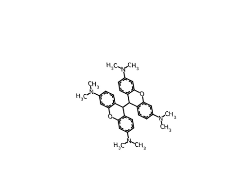 CN(C)c1ccc2c(c1)Oc1cc(N(C)C)ccc1C2C1c2ccc(N(C)C)cc2Oc2cc(N(C)C)ccc21